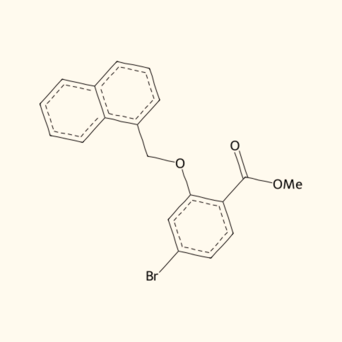 COC(=O)c1ccc(Br)cc1OCc1cccc2ccccc12